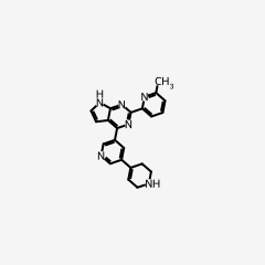 Cc1cccc(-c2nc(-c3cncc(C4=CCNCC4)c3)c3cc[nH]c3n2)n1